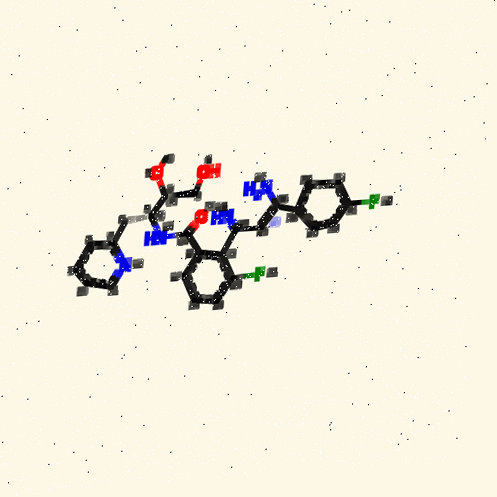 CO[C@@H](CO)[C@@H](Cc1ccccn1)NC(=O)c1cccc(F)c1C(=N)/C=C(\N)c1ccc(F)cc1